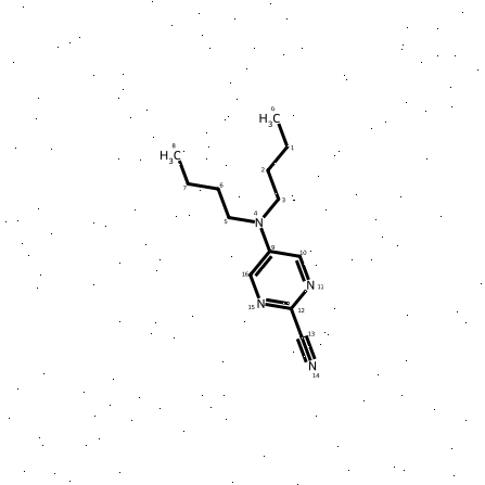 CCCCN(CCCC)c1cnc(C#N)nc1